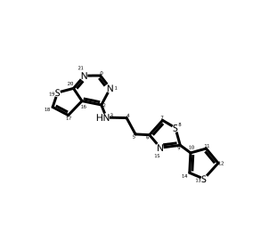 c1nc(NCCc2csc(-c3ccsc3)n2)c2ccsc2n1